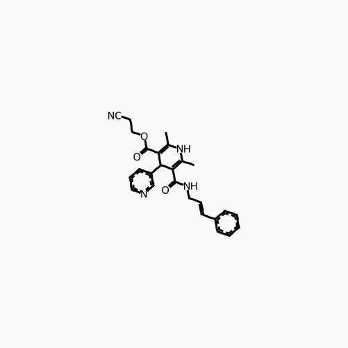 CC1=C(C(=O)NC/C=C/c2ccccc2)C(c2cccnc2)C(C(=O)OCCC#N)=C(C)N1